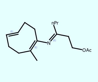 CCC/C(CCOC(C)=O)=N\C1=C(/C)CC/C=C/CC1